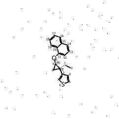 CC[C@]1(c2ccsc2)C[C@H]1Oc1cccc2ccccc12